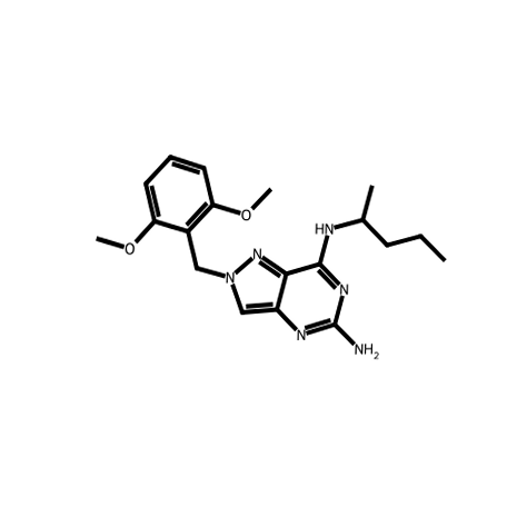 CCCC(C)Nc1nc(N)nc2cn(Cc3c(OC)cccc3OC)nc12